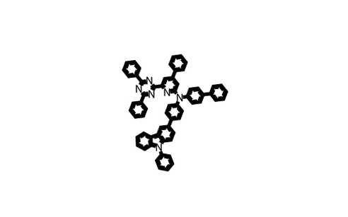 c1ccc(-c2ccc(N(c3ccc(-c4ccc5c(c4)c4ccccc4n5-c4ccccc4)cc3)c3cc(-c4ccccc4)cc(-c4nc(-c5ccccc5)nc(-c5ccccc5)n4)n3)cc2)cc1